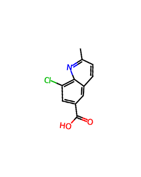 Cc1ccc2cc(C(=O)O)cc(Cl)c2n1